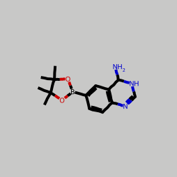 CC1(C)OB(c2ccc3c(c2)C(N)NC=N3)OC1(C)C